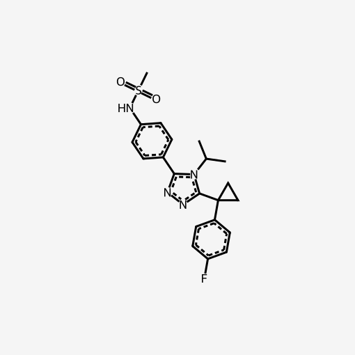 CC(C)n1c(-c2ccc(NS(C)(=O)=O)cc2)nnc1C1(c2ccc(F)cc2)CC1